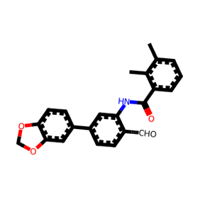 Cc1cccc(C(=O)Nc2cc(-c3ccc4c(c3)OCO4)ccc2C=O)c1C